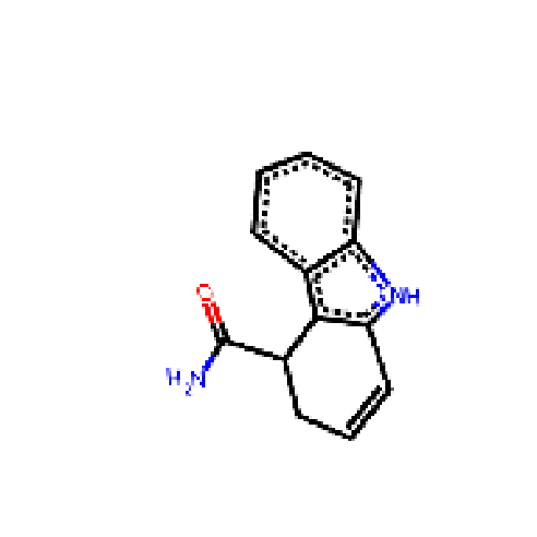 NC(=O)C1CC=Cc2[nH]c3ccccc3c21